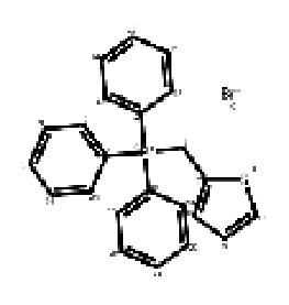 [Br-].c1ccc([P+](Cc2cccs2)(c2ccccc2)c2ccccc2)cc1